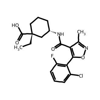 CC[C@@]1(C(=O)O)CCC[C@H](NC(=O)c2c(C)noc2-c2c(F)cccc2Cl)C1